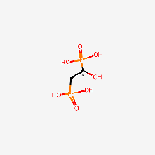 O=P(O)(O)C[C@H](O)P(=O)(O)O